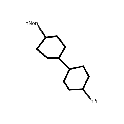 CCCCCCCCCC1CCC(C2CCC(CCC)CC2)CC1